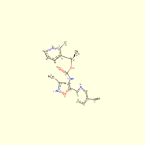 CNc1ccc(-c2onc(C)c2NC(=O)O[C@H](C)c2cccnc2Cl)nc1